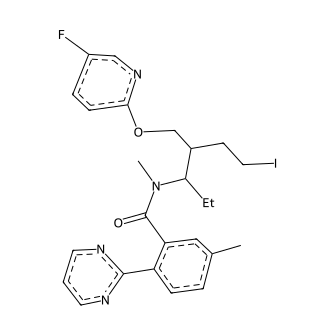 CCC(C(CCI)COc1ccc(F)cn1)N(C)C(=O)c1cc(C)ccc1-c1ncccn1